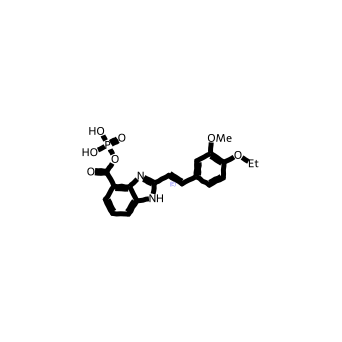 CCOc1ccc(/C=C/c2nc3c(C(=O)OP(=O)(O)O)cccc3[nH]2)cc1OC